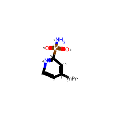 CC[CH]c1ccnc(S(N)(=O)=O)c1